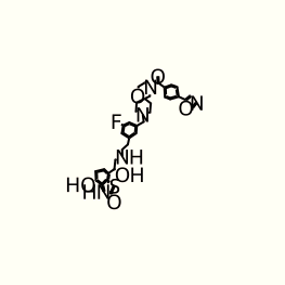 O=C(c1ccc(-c2cnco2)cc1)N1CCOC2(CCN(Cc3cc(F)cc(CCNCC(O)c4ccc(O)c5[nH]c(=O)sc45)c3)CC2)C1